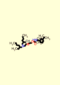 C=C(C)c1cccc(C(C)(C)NC(=O)OCCOCCN(CC(CC)CCCC)CC(CC)CCCC)c1